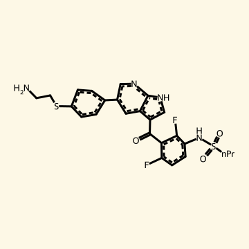 CCCS(=O)(=O)Nc1ccc(F)c(C(=O)c2c[nH]c3ncc(-c4ccc(SCCN)cc4)cc23)c1F